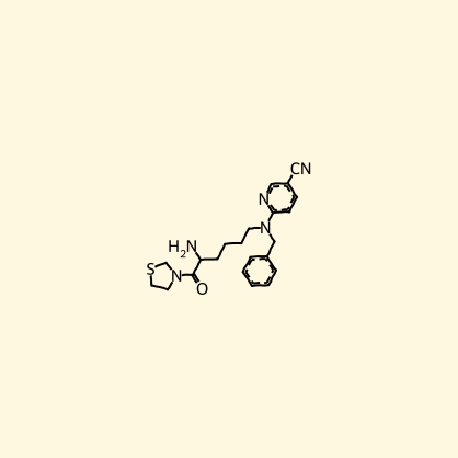 N#Cc1ccc(N(CCCCC(N)C(=O)N2CCSC2)Cc2ccccc2)nc1